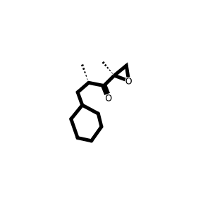 C[C@@H](CC1CCCCC1)C(=O)[C@@]1(C)CO1